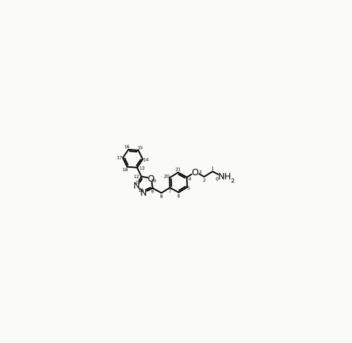 NCCOc1ccc(Cc2nnc(-c3ccccc3)o2)cc1